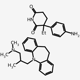 CC(CN(C)C)CN1c2ccccc2CCc2ccccc21.CCC1(c2ccc(N)cc2)CCC(=O)NC1=O